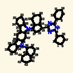 c1ccc(-c2nc(-c3ccccc3)nc(-c3ccc(-n4c5ccccc5c5cc6c7ccccc7n(-c7cccc8ccccc78)c6cc54)c4ccccc34)n2)cc1